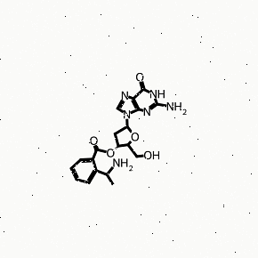 CC(N)c1ccccc1C(=O)O[C@@H]1CC(n2cnc3c(=O)[nH]c(N)nc32)OC1CO